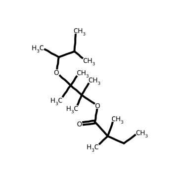 CCC(C)(C)C(=O)OC(C)(C)C(C)(C)OC(C)C(C)C